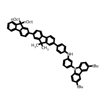 CCCCCCCCC1(CCCCCCCC)c2ccccc2-c2ccc(-c3ccc4c(c3)C(C)(C)c3cc(-c5ccc(Nc6cccc(-n7c8ccc(C(C)(C)C)cc8c8cc(C(C)(C)C)ccc87)c6)cc5)ccc3-4)cc21